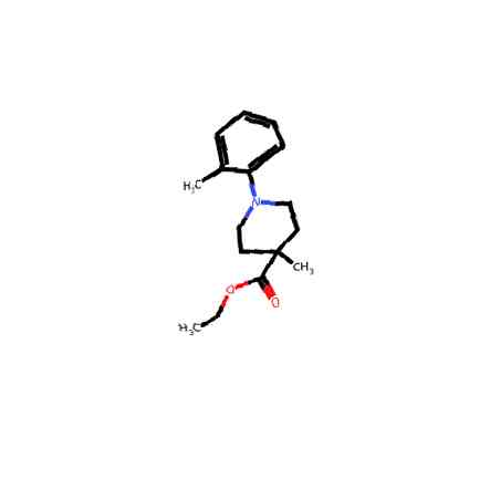 CCOC(=O)C1(C)CCN(c2ccccc2C)CC1